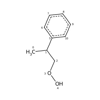 CC(COO)c1ccccc1